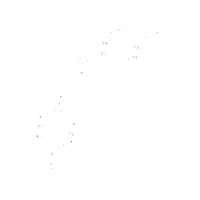 O=C(/C=C/c1ccc(O)cc1)c1ccc(Br)cc1